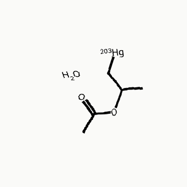 CC(=O)OC(C)[CH2][203Hg].O